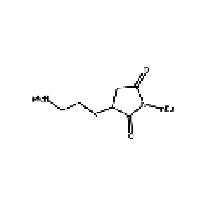 CCCCN1C(=O)CC(SCCNC)C1=O